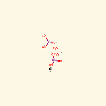 O.O.O.O=[PH](O)O.O=[PH]([O-])O.[Na+]